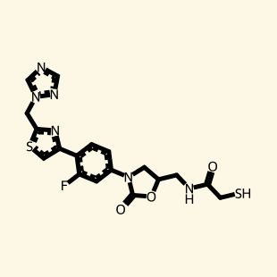 O=C(CS)NCC1CN(c2ccc(-c3csc(Cn4cncn4)n3)c(F)c2)C(=O)O1